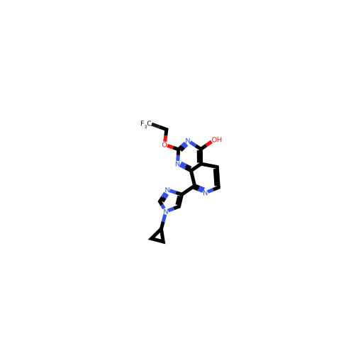 Oc1nc(OCC(F)(F)F)nc2c(-c3cn(C4CC4)cn3)nccc12